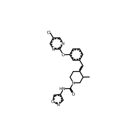 CC1CN(C(=O)Nc2cnoc2)CCC1=Cc1cccc(Oc2ncc(Cl)cn2)c1